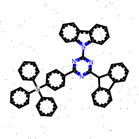 c1ccc([Si](c2ccccc2)(c2ccccc2)c2ccc(-c3nc(C4c5ccccc5-c5ccccc54)nc(-n4c5ccccc5c5ccccc54)n3)cc2)cc1